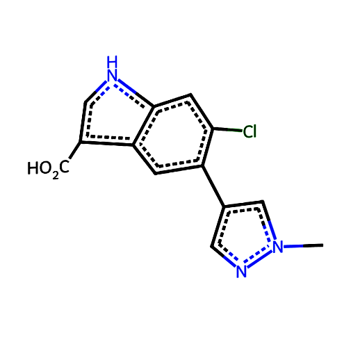 Cn1cc(-c2cc3c(C(=O)O)c[nH]c3cc2Cl)cn1